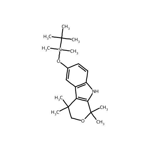 CC1(C)COC(C)(C)c2[nH]c3ccc(O[Si](C)(C)C(C)(C)C)cc3c21